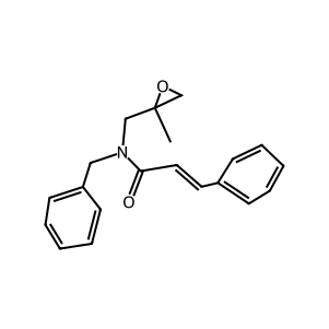 CC1(CN(Cc2ccccc2)C(=O)C=Cc2ccccc2)CO1